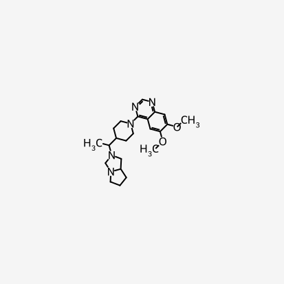 COc1cc2ncnc(N3CCC(C(C)N4CC5CCCN5C4)CC3)c2cc1OC